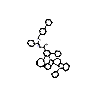 N=C(/N=C(\N=C\c1ccc(-c2ccccc2)cc1)c1ccccc1)c1cc(C2=CC=CC#CC2)c(-n2c3c(c4ccccc42)-c2c(c4ccccc4n2-c2ccccc2)CC3)c(-c2ccccc2)c1